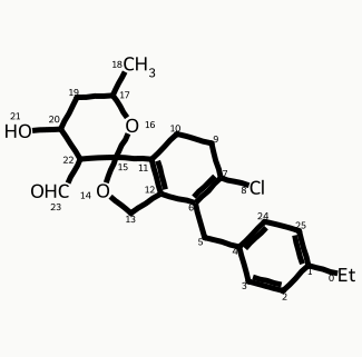 CCc1ccc(CC2=C(Cl)CCC3=C2COC32OC(C)CC(O)C2C=O)cc1